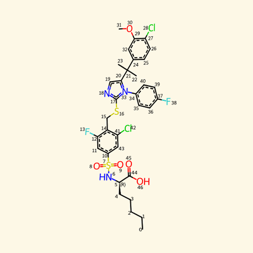 CCCCC[C@@H](NS(=O)(=O)c1cc(F)c(CSc2ncc(C(C)(C)c3ccc(Cl)c(OC)c3)n2-c2ccc(F)cc2)c(Cl)c1)C(=O)O